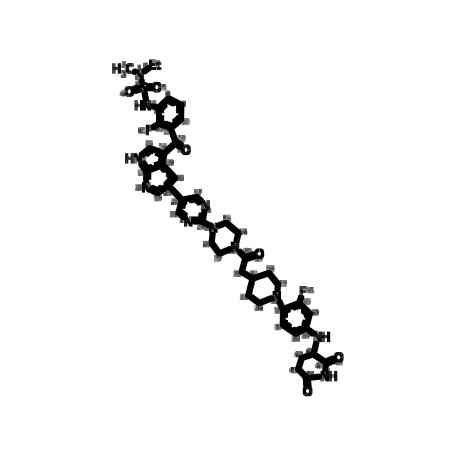 CCN(C)S(=O)(=O)Nc1cccc(C(=O)c2c[nH]c3ncc(-c4cnc(N5CCN(C(=O)CC6CCN(c7ccc(NC8CCC(=O)NC8=O)cc7F)CC6)CC5)nc4)cc23)c1F